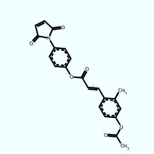 CC(=O)Oc1ccc(/C=C/C(=O)Oc2ccc(N3C(=O)C=CC3=O)cc2)c(C)c1